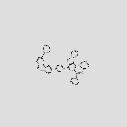 c1ccc(-c2ccc3ccc4ccc(-c5ccc(-c6cc7c(-c8ccccc8)nc8ccccc8c7c7c6sc6ccccc67)cc5)nc4c3n2)cc1